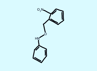 O=[N+]([O-])c1ccccc1CONc1ccccc1